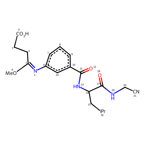 COC(CCC(=O)O)=Nc1cccc(C(=O)NC(CC(C)C)C(=O)NCC#N)c1